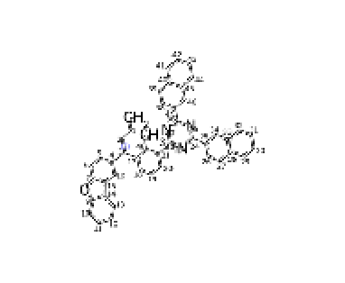 C=C/C=C(/c1ccc2oc3ccccc3c2c1)c1cccc(-c2nc(-c3ccc4ccccc4c3)nc(-c3ccc4ccccc4c3)n2)c1C